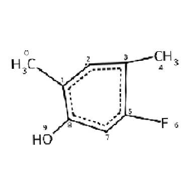 Cc1[c]c(C)c(F)cc1O